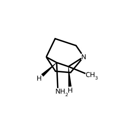 C[C@@H]1[C@H](N)C2CCN1CC2